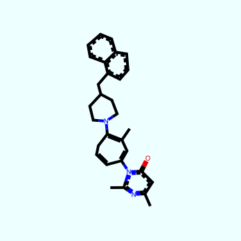 CC1=C(N2CCC(Cc3cccc4ccccc34)CC2)CC=CC(n2c(C)nc(C)cc2=O)=C1